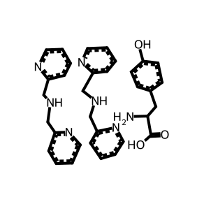 NC(Cc1ccc(O)cc1)C(=O)O.c1ccc(CNCc2ccccn2)nc1.c1ccc(CNCc2ccccn2)nc1